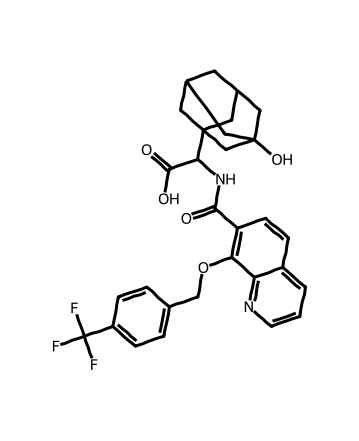 O=C(NC(C(=O)O)C12CC3CC(CC(O)(C3)C1)C2)c1ccc2cccnc2c1OCc1ccc(C(F)(F)F)cc1